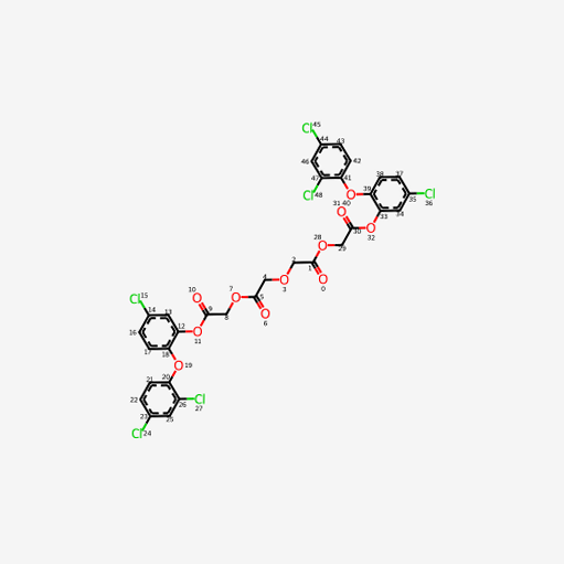 O=C(COCC(=O)OCC(=O)Oc1cc(Cl)ccc1Oc1ccc(Cl)cc1Cl)OCC(=O)Oc1cc(Cl)ccc1Oc1ccc(Cl)cc1Cl